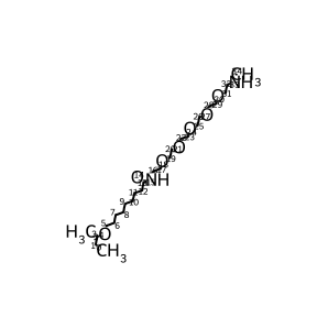 CCC(C)OCCCCCCCCC(=O)NCCOCCOCCOCCOCCOCCNC